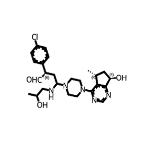 CC(O)CNC(C[C@@H](C=O)c1ccc(Cl)cc1)N1CCN(c2ncnc3c2[C@H](C)C[C@H]3O)CC1